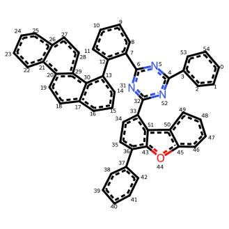 c1ccc(-c2nc(-c3ccccc3-c3cccc4ccc5c6ccccc6ccc5c34)nc(-c3ccc(-c4ccccc4)c4oc5ccccc5c34)n2)cc1